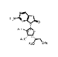 CC(=O)OCC(OC(C)=O)[C@H]1O[C@@H](n2c(=O)sc3cnc(N)nc32)[C@H](OC(C)=O)[C@H]1OC(C)=O